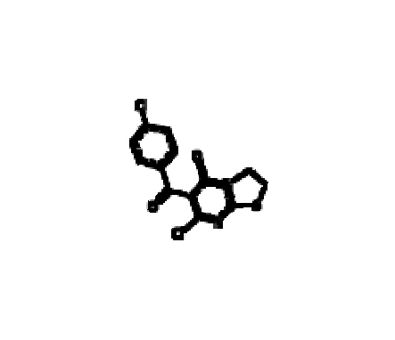 O=C(c1ccc(Cl)cc1)c1c(Cl)nc2n(c1=O)CCS2